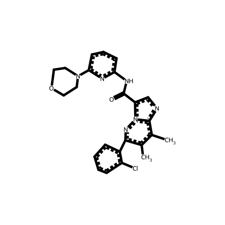 Cc1c(-c2ccccc2Cl)nn2c(C(=O)Nc3cccc(N4CCOCC4)n3)cnc2c1C